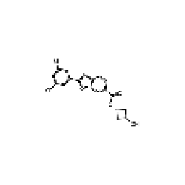 O=C(O[C@H]1C[C@H](O)C1)c1ccc2nc(-c3cc(Cl)cc(Cl)c3)oc2c1